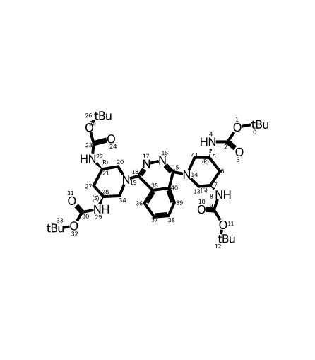 CC(C)(C)OC(=O)N[C@@H]1C[C@H](NC(=O)OC(C)(C)C)CN(c2nnc(N3C[C@H](NC(=O)OC(C)(C)C)C[C@H](NC(=O)OC(C)(C)C)C3)c3ccccc23)C1